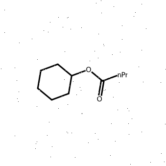 CCCC(=O)OC1CCCCC1